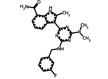 Cc1[nH]c2c(C(N)=O)cccc2c1-c1nc(NCc2cccc(F)c2)nc(N(C)C)n1